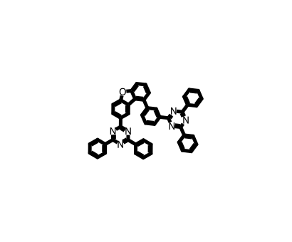 c1ccc(-c2nc(-c3ccccc3)nc(-c3cccc(-c4cccc5oc6ccc(-c7nc(-c8ccccc8)nc(-c8ccccc8)n7)cc6c45)c3)n2)cc1